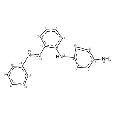 Nc1ccc(Nc2ccccc2N=Nc2ccccc2)cc1